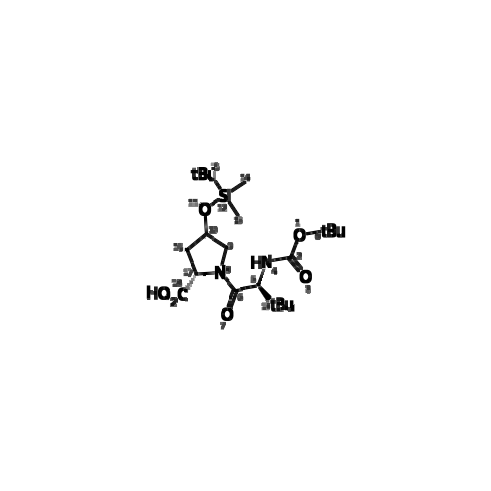 CC(C)(C)OC(=O)N[C@H](C(=O)N1CC(O[Si](C)(C)C(C)(C)C)C[C@H]1C(=O)O)C(C)(C)C